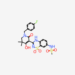 CC1(C)CN(Cc2ccc(F)cc2)C(=O)C(C2=NS(=O)(=O)c3cc(NS(C)(=O)=O)ccc3N2)=C1O